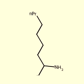 [CH2]C(N)CCCCCCC